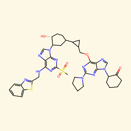 CS(=O)(=O)c1nc(NCc2nc3ccccc3s2)c2ncn(C3CC(C4CC4COc4nc(N5CCCC5)nc5c4ncn5C4CCCCC4=O)CC[C@H]3O)c2n1